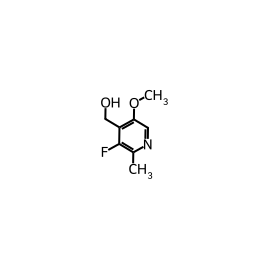 COc1cnc(C)c(F)c1CO